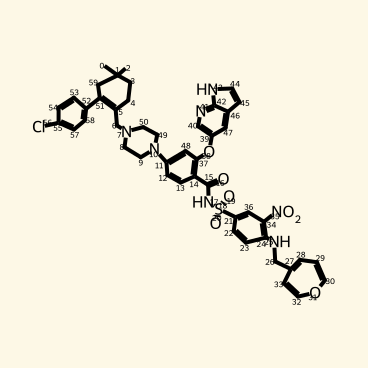 CC1(C)CCC(CN2CCN(c3ccc(C(=O)NS(=O)(=O)c4ccc(NCC5=CC=COC=C5)c([N+](=O)[O-])c4)c(Oc4cnc5[nH]ccc5c4)c3)CC2)=C(c2ccc(Cl)cc2)C1